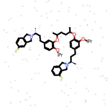 CC(C)Oc1cc(CC[C@@H](C)N2Cc3cccc(F)c3C2)ccc1OC(C)CCC(C)Oc1cc(CC[C@@H](C)N2Cc3ccc(F)cc3C2)ccc1OC(C)C